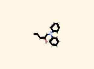 C=C/C=C(/Br)CN(c1ccccc1)c1ccccc1